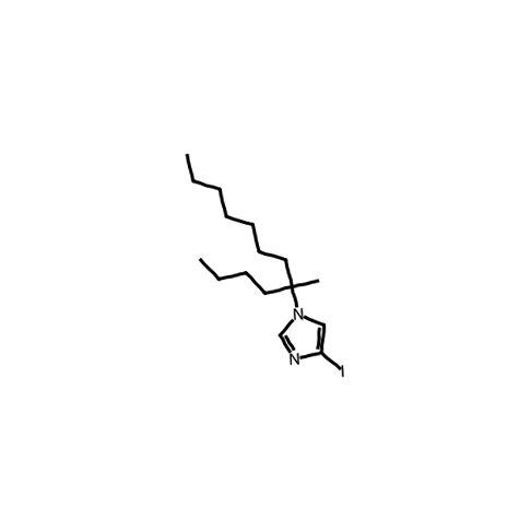 CCCCCCCC(C)(CCCC)n1cnc(I)c1